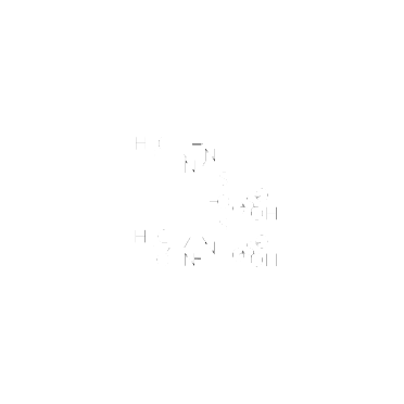 CCc1ccnc(C(SCCS(=O)(=O)O)C2CCCC(C(SCCS(=O)(=O)O)c3cc(C(C)=O)ncn3)C2=O)n1